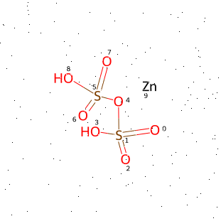 O=S(=O)(O)OS(=O)(=O)O.[Zn]